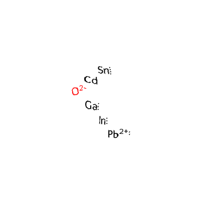 [Cd].[Ga].[In].[O-2].[Pb+2].[Sn]